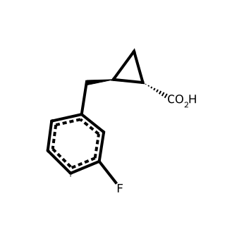 O=C(O)[C@H]1C[C@@H]1Cc1cc[c]c(F)c1